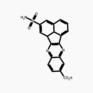 NS(=O)(=O)C1=CC2c3nc4ccc(C(=O)O)cc4nc3C3=CC=CC(=C1)C32